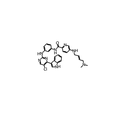 CN(C)C/C=C/CNc1ccc(C(=O)Nc2cccc(Nc3ncc(Cl)c(-c4c[nH]c5ccccc45)n3)c2)nc1